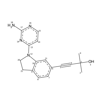 CC(C)(O)C#Cc1ccc2c(c1)N(c1ccnc(N)n1)CC2